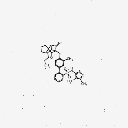 CCCCC1=C2[N+](=[N-])C1(Cc1ccc(-c3ccccc3S(=O)(=O)Nc3noc(C)c3C)cc1C)C(=O)C21CCCC1